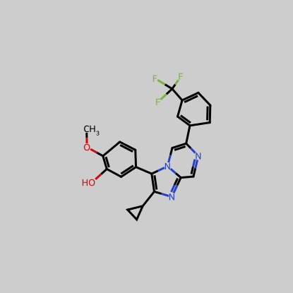 COc1ccc(-c2c(C3CC3)nc3cnc(-c4cccc(C(F)(F)F)c4)cn23)cc1O